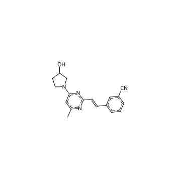 Cc1cc(N2CCC(O)C2)nc(C=Cc2cccc(C#N)c2)n1